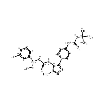 Cn1nnc(-c2ccc(NC(=O)OC(C)(C)C)cn2)c1NC(=O)O[C@H](CF)c1cccc(F)c1